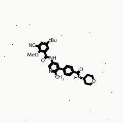 COc1c(C#N)cc(C(C)(C)C)cc1C(=O)Nc1cnc(C)c(-c2ccc(C(=O)NC3CCOCC3)cc2)c1